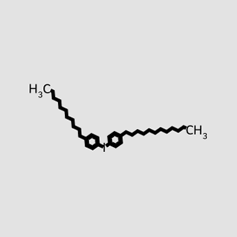 CCCCCCCCCCCCc1ccc([I+]c2ccc(CCCCCCCCCCC)cc2)cc1